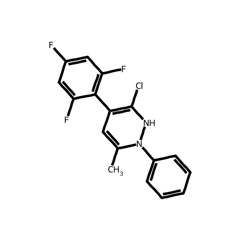 CC1=CC(c2c(F)cc(F)cc2F)=C(Cl)NN1c1ccccc1